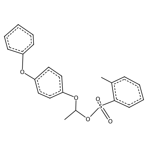 Cc1ccccc1S(=O)(=O)OC(C)Oc1ccc(Oc2ccccc2)cc1